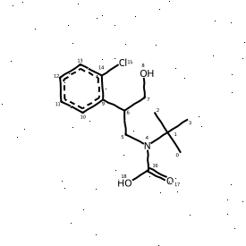 CC(C)(C)N(CC(CO)c1ccccc1Cl)C(=O)O